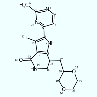 Cc1nccc(-c2[nH]c3c(c2I)C(=O)NCC3CC2COCCO2)n1